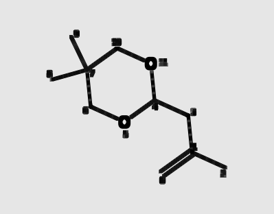 C=C(C)CC1OCC(C)(C)CO1